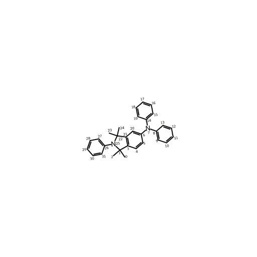 CC1(C)c2ccc(N(c3ccccc3)c3ccccc3)cc2C(C)(C)N1c1ccccc1